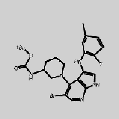 Cc1ccc(F)c(Nc2c[nH]c3ncc(Br)c(N4CCCC(NC(=O)OC(C)(C)C)C4)c23)c1